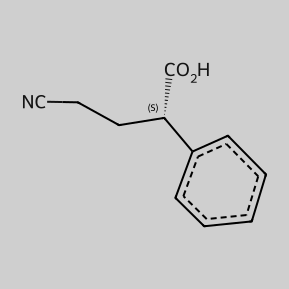 N#CCC[C@H](C(=O)O)c1ccccc1